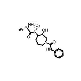 CCC[C@H](N)C(=O)N(C)C1CCCN(C(=O)Nc2ccccc2)CC1O